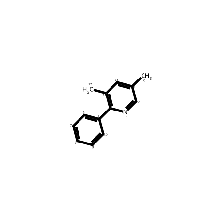 Cc1cnc(-c2cc[c]cc2)c(C)c1